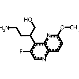 COc1ccc2ncc(F)c(C(CO)CCN)c2n1